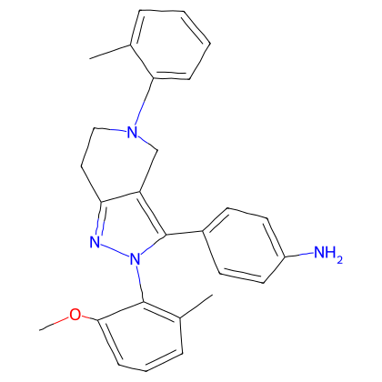 COc1cccc(C)c1-n1nc2c(c1-c1ccc(N)cc1)CN(c1ccccc1C)CC2